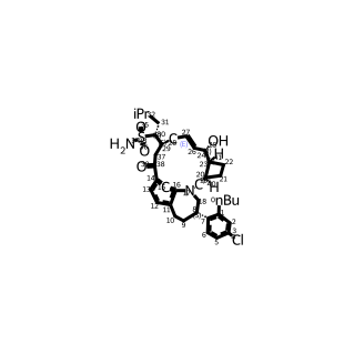 CCCCc1cc(Cl)ccc1[C@@H]1CCc2ccc3cc2N(C1)C[C@@H]1CC[C@H]1[C@@H](O)/C=C/C[C@H]([C@@H](CC(C)C)S(N)(=O)=O)CC3=O